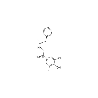 Cc1cc([C@@H](O)CN[C@H](C)Cc2ccccc2)cc(O)c1O